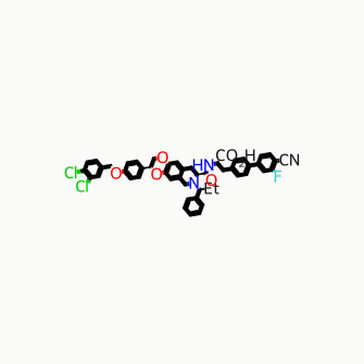 CC[C@@H](c1ccccc1)N1Cc2cc3c(cc2C[C@H]1C(=O)N[C@@H](Cc1ccc(-c2ccc(C#N)c(F)c2)cc1)C(=O)O)OC[C@H](c1ccc(OCc2ccc(Cl)c(Cl)c2)cc1)O3